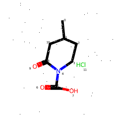 CC1CCN(C(=O)O)C(=O)C1.Cl